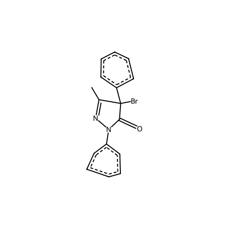 CC1=NN(c2ccccc2)C(=O)C1(Br)c1ccccc1